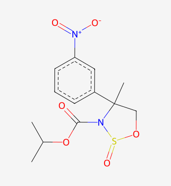 CC(C)OC(=O)N1S(=O)OCC1(C)c1cccc([N+](=O)[O-])c1